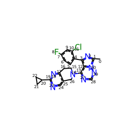 Cc1nc(-c2ccc(F)cc2Cl)c2c(N3CCc4nc(C5CC5)ncc4C3)ncnn12